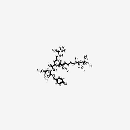 CNC(=N)NCCC[C@@H](NC(=O)[C@H](N)CCCCNC(=O)OC(C)(C)C)C(=O)N[C@@H](CC(C)C)C(=O)OCc1ccc(Cl)cc1